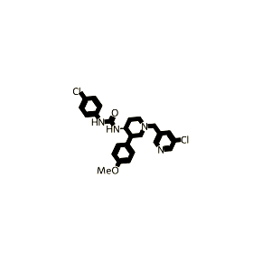 COc1ccc(C2CN(Cc3cncc(Cl)c3)CC[C@H]2NC(=O)Nc2ccc(Cl)cc2)cc1